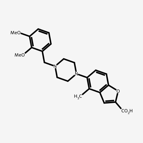 COc1cccc(CN2CCN(c3ccc4oc(C(=O)O)cc4c3C)CC2)c1OC